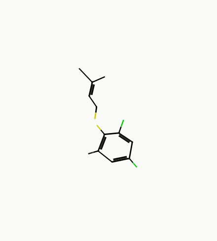 CC(C)=CCSc1c(Cl)cc(Cl)cc1C=O